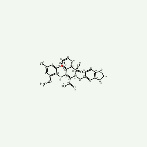 COc1cc(Cl)cc(OC)c1SC1=C(C(=O)O)N(Cc2ccc3c(c2)OCO3)S(=O)(=O)c2ccccc21